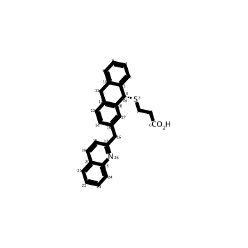 O=C(O)CCS[C@H]1c2ccccc2Cc2ccc(Cc3ccc4ccccc4n3)cc21